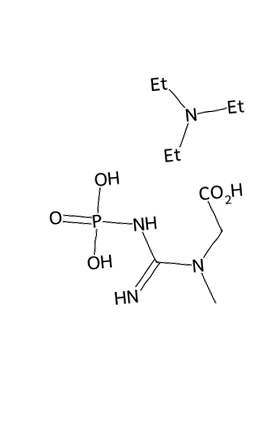 CCN(CC)CC.CN(CC(=O)O)C(=N)NP(=O)(O)O